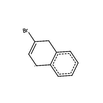 BrC1=C[CH]c2ccccc2C1